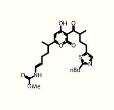 CCCCc1ncc(CCC(C)C(=O)c2c(O)cc(C(C)CC/C=C/NC(=O)OC)oc2=O)s1